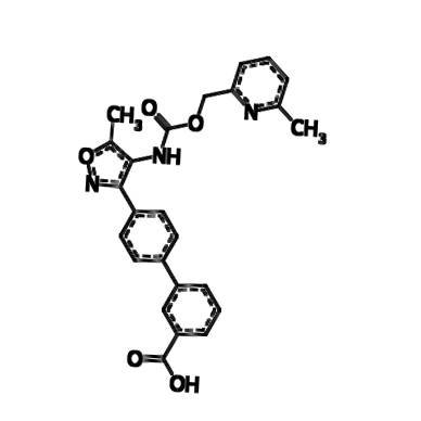 Cc1cccc(COC(=O)Nc2c(-c3ccc(-c4cccc(C(=O)O)c4)cc3)noc2C)n1